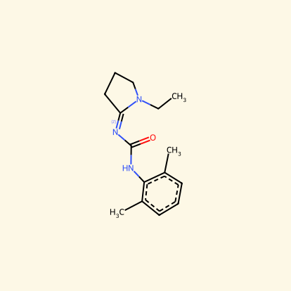 CCN1CCC/C1=N/C(=O)Nc1c(C)cccc1C